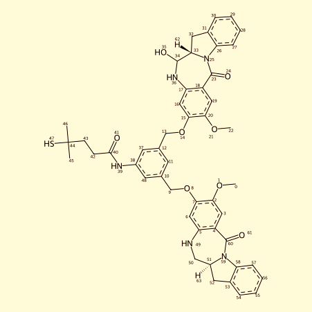 COc1cc2c(cc1OCc1cc(COc3cc4c(cc3OC)C(=O)N3c5ccccc5C[C@H]3C(O)N4)cc(NC(=O)CCC(C)(C)S)c1)NC[C@@H]1Cc3ccccc3N1C2=O